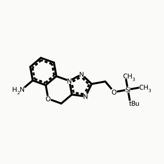 CC(C)(C)[Si](C)(C)OCc1nc2n(n1)-c1cccc(N)c1OC2